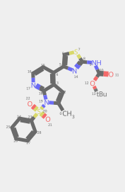 Cc1cc2c(-c3csc(NC(=O)OC(C)(C)C)n3)ccnc2n1S(=O)(=O)c1ccccc1